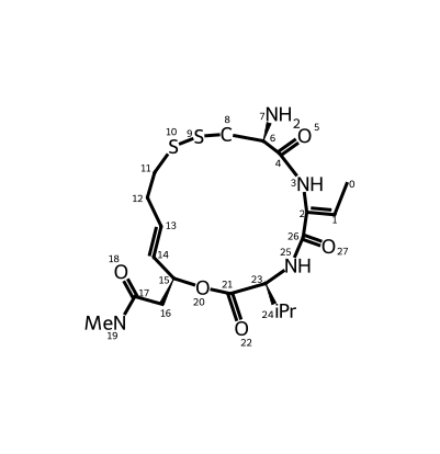 C/C=C1\NC(=O)[C@H](N)CSSCC/C=C/[C@H](CC(=O)NC)OC(=O)[C@H](C(C)C)NC1=O